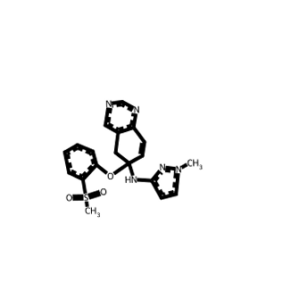 Cn1ccc(NC2(Oc3ccccc3S(C)(=O)=O)C=Cc3ncncc3C2)n1